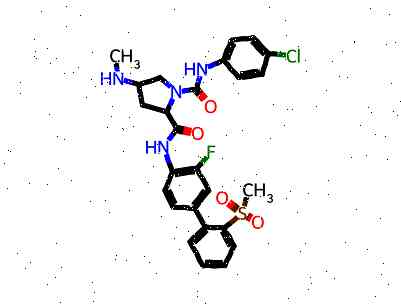 CNC1CC(C(=O)Nc2ccc(-c3ccccc3S(C)(=O)=O)cc2F)N(C(=O)Nc2ccc(Cl)cc2)C1